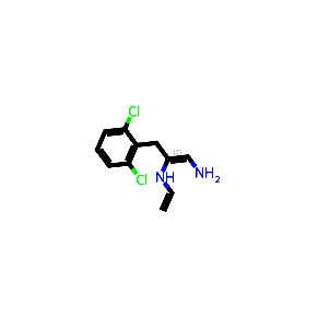 C=CN/C(=C\N)Cc1c(Cl)cccc1Cl